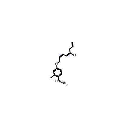 C=CC/C(Cl)=C\C=C/COc1ccc(NN)c(C)c1